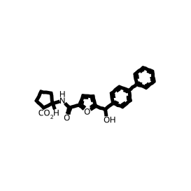 O=C(NC1(C(=O)O)CCCC1)c1ccc(C(O)c2ccc(-c3ccccc3)cc2)o1